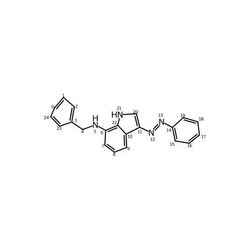 c1ccc(CNc2cccc3c(/N=N/c4ccccc4)c[nH]c23)cc1